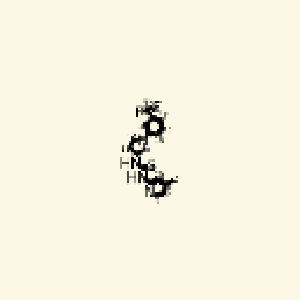 Cc1ccnc(NC(=S)N[C@H]2CCN(c3cccc(C(F)(F)F)c3)C2)c1